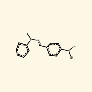 CCN(CC)c1ccc(C=NN(C)c2ccccc2)cc1